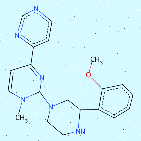 COc1ccccc1C1CN(C2N=C(c3ccncn3)C=CN2C)CCN1